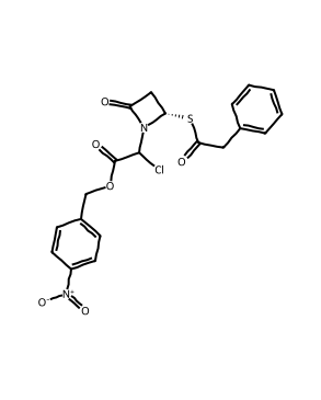 O=C(Cc1ccccc1)S[C@H]1CC(=O)N1C(Cl)C(=O)OCc1ccc([N+](=O)[O-])cc1